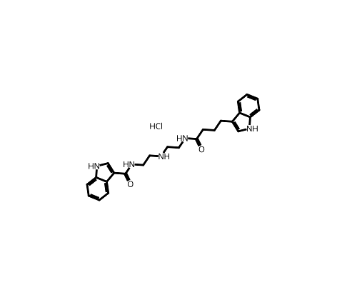 Cl.O=C(CCCc1c[nH]c2ccccc12)NCCNCCNC(=O)c1c[nH]c2ccccc12